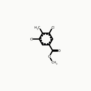 COC(=O)c1cc(Cl)c(C)c(Cl)c1